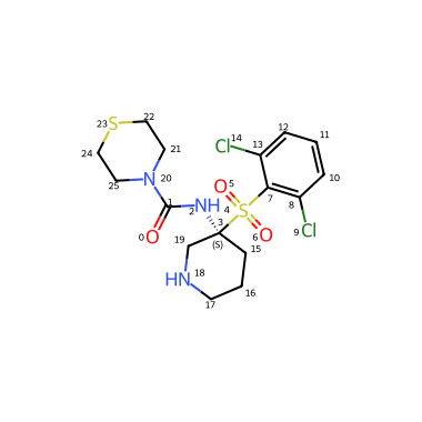 O=C(N[C@]1(S(=O)(=O)c2c(Cl)cccc2Cl)CCCNC1)N1CCSCC1